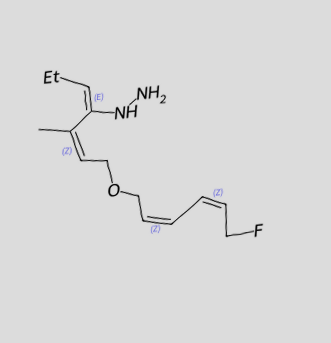 CC/C=C(NN)\C(C)=C/COC/C=C\C=C/CF